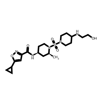 C[C@H]1C[C@@H](NC(=O)c2cc(C3CC3)on2)CCN1S(=O)(=O)N1CCC(NCCO)CC1